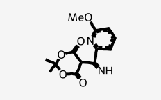 COc1cccc(C(=N)C2C(=O)OC(C)(C)OC2=O)n1